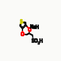 O=S(=O)(O)CC1COc2cscc2O1.[NaH]